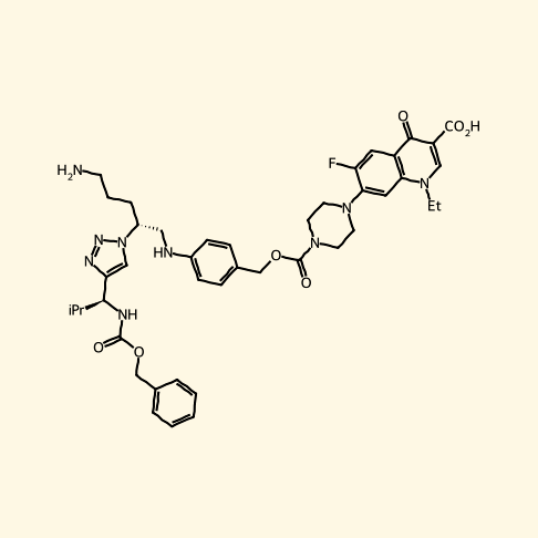 CCn1cc(C(=O)O)c(=O)c2cc(F)c(N3CCN(C(=O)OCc4ccc(NC[C@@H](CCCN)n5cc([C@@H](NC(=O)OCc6ccccc6)C(C)C)nn5)cc4)CC3)cc21